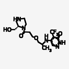 CC(COCCC(=O)N1CCNC[C@H]1CO)Nc1cn[nH]c(=O)c1C(F)(F)F